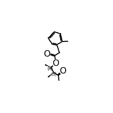 CC(=O)[C@@H](C)[C@@H](C)OC(=O)Cc1ccccc1C